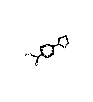 COC(=O)c1ccc(C2CCCO2)cc1